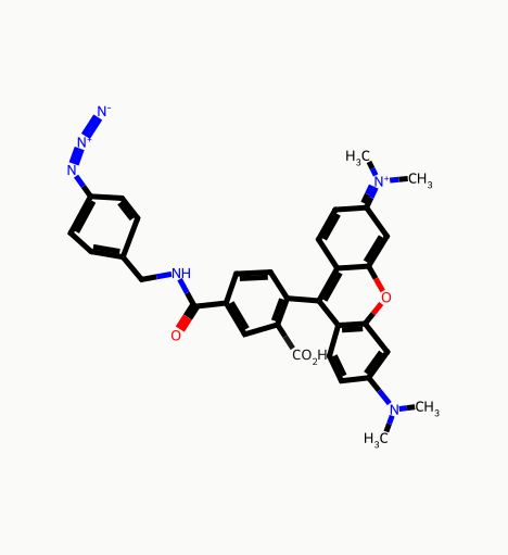 CN(C)c1ccc2c(-c3ccc(C(=O)NCc4ccc(N=[N+]=[N-])cc4)cc3C(=O)O)c3ccc(=[N+](C)C)cc-3oc2c1